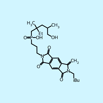 C=C1c2cc3c(cc2C(=O)N1CC(C)CC)C(=O)N(CCCP(=O)(O)CC(C)(CC)CC(C)CO)C3=O